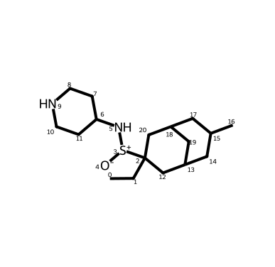 CCC1([S+]([O-])NC2CCNCC2)CC2CC(C)CC(C2)C1